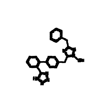 CC(C)(C)n1nc(Cc2ccccc2)nc1Cc1ccc(-c2ccccc2-c2nnn[nH]2)cc1